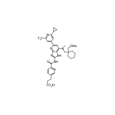 CCOC(=O)CCc1ccc(C(=O)Nc2nc3nc(-c4cc(C5CC5)nc(C(F)(F)F)c4)cc(N(C)CC4(COC)CCCCC4)c3[nH]2)nc1